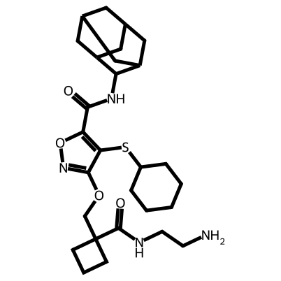 NCCNC(=O)C1(COc2noc(C(=O)NC3C4CC5CC(C4)CC3C5)c2SC2CCCCC2)CCC1